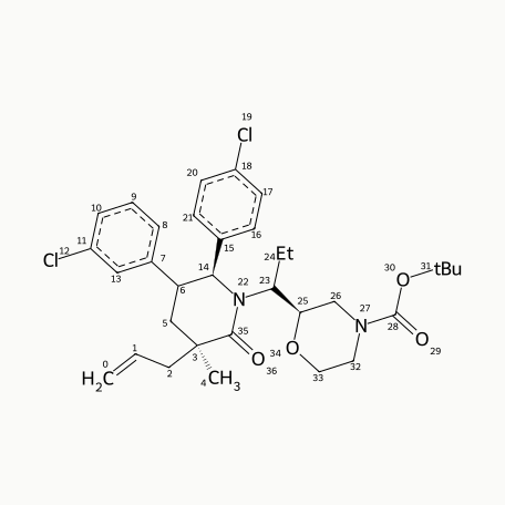 C=CC[C@@]1(C)CC(c2cccc(Cl)c2)[C@@H](c2ccc(Cl)cc2)N(C(CC)[C@H]2CN(C(=O)OC(C)(C)C)CCO2)C1=O